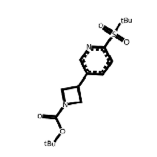 CC(C)(C)OC(=O)N1CC(c2ccc(S(=O)(=O)C(C)(C)C)nc2)C1